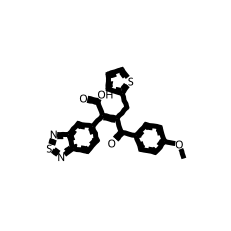 COc1ccc(C(=O)C(Cc2cccs2)=C(C(=O)O)c2ccc3nsnc3c2)cc1